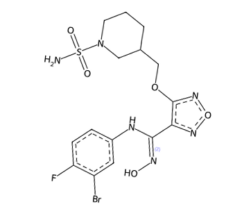 NS(=O)(=O)N1CCCC(COc2nonc2/C(=N/O)Nc2ccc(F)c(Br)c2)C1